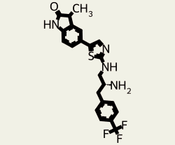 CC1C(=O)Nc2ccc(-c3cnc(NC[C@H](N)Cc4ccc(C(F)(F)F)cc4)s3)cc21